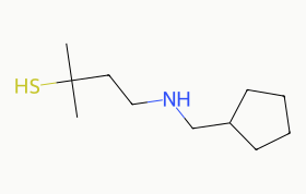 CC(C)(S)CCNCC1CCCC1